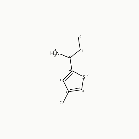 CCC(N)c1cc(C)cs1